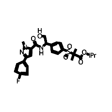 CC(C)OC(=O)C(C)(C)S(=O)(=O)c1ccc(C(CO)NC(=O)c2cc(-c3ccc(F)cc3)nn2C)cc1